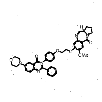 COc1cc2c(cc1OCCOc1ccc(-n3c(-c4ccccc4)nc4ccc(N5CCOCC5)cc4c3=O)cc1)N=C[C@@H]1CCCN1C2=O